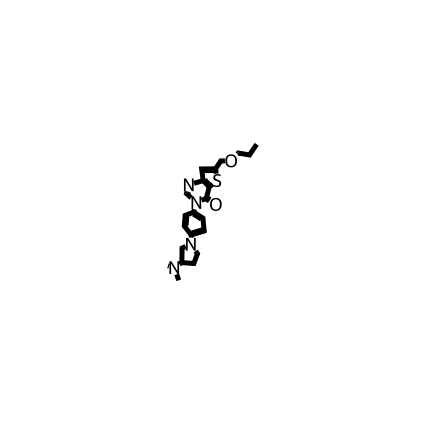 CCCOCc1cc2ncn(-c3ccc(N4CCC(N(C)C)C4)cc3)c(=O)c2s1